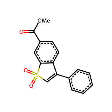 COC(=O)c1ccc2c(c1)S(=O)(=O)C=C2c1ccccc1